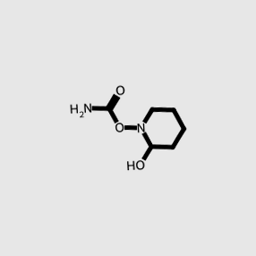 NC(=O)ON1CCCCC1O